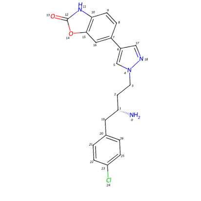 N[C@@H](CCn1cc(-c2ccc3[nH]c(=O)oc3c2)cn1)Cc1ccc(Cl)cc1